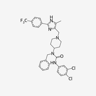 Cc1[nH]c(-c2ccc(C(F)(F)F)cc2)nc1CN1CCC(N(Cc2ccccc2)C(=O)Nc2ccc(Cl)c(Cl)c2)CC1